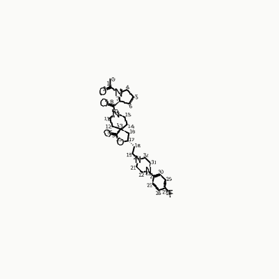 CC(=O)N1CCC[C@H]1C(=O)N1CCC2(CC1)C[C@H](CCN1CCN(c3ccc(F)cc3)CC1)OC2=O